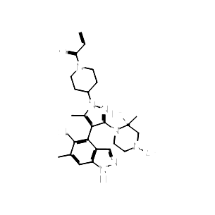 C=CC(=O)N1CCC(n2nc(N3CCN(C(C)=O)C[C@]3(C)CC)c(-c3c(Cl)c(C)cc4[nH]ncc34)c2C)CC1